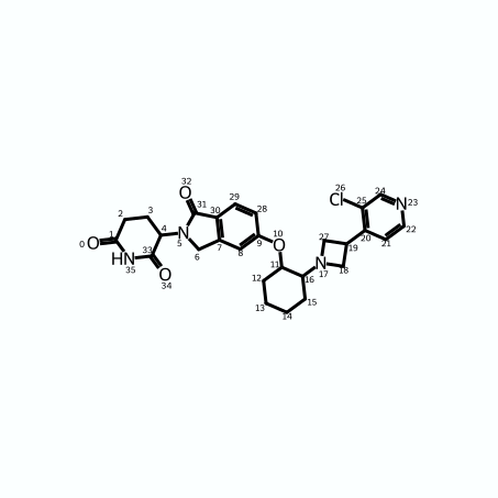 O=C1CCC(N2Cc3cc(OC4CCCCC4N4CC(c5ccncc5Cl)C4)ccc3C2=O)C(=O)N1